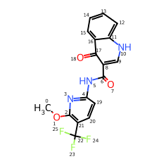 COc1nc(NC(=O)c2c[nH]c3ccccc3c2=O)ccc1C(F)(F)F